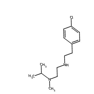 CC(C)N(C)CCNCCc1ccc(Cl)cc1